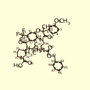 COc1cccc(C2(C)Oc3cc(C(F)(F)F)c(C(=O)N(C(C)C)[C@@H]4CCCN(C(=O)O)C4)cc3N(CCNC(=O)OCc3ccccc3)C2=O)c1